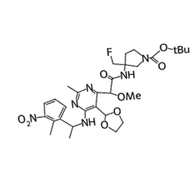 COC(C(=O)NC1(CF)CCN(C(=O)OC(C)(C)C)C1)c1nc(C)nc(NC(C)c2cccc([N+](=O)[O-])c2C)c1C1OCCO1